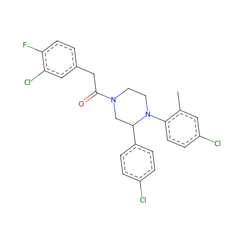 Cc1cc(Cl)ccc1N1CCN(C(=O)Cc2ccc(F)c(Cl)c2)CC1c1ccc(Cl)cc1